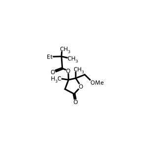 CCC(C)(C)C(=O)OC1(C)CC(=O)OC1(C)COC